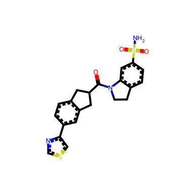 NS(=O)(=O)c1ccc2c(c1)N(C(=O)C1Cc3ccc(-c4cscn4)cc3C1)CC2